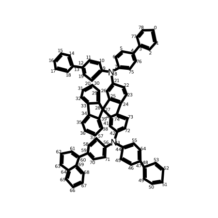 c1ccc(-c2ccc(N(c3ccc(-c4ccccc4)cc3)c3ccc4c(c3)C3(c5ccccc5-c5ccccc53)c3cc(N(c5ccc(-c6ccccc6)cc5)c5ccc(-c6cccc7ccccc67)cc5)ccc3-4)cc2)cc1